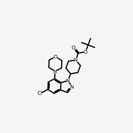 CC(C)(C)OC(=O)N1CCC(n2ncc3cc(Cl)cc(N4CCOCC4)c32)CC1